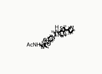 CC(=O)Nc1nc(C)c(S(=O)(=O)N2CCN(C[C@H](C)Nc3ncnc4c(-c5cccnc5)csc34)CC2)s1